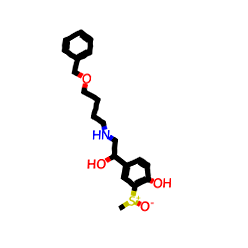 C[S+]([O-])c1cc(C(O)CNCCCCOCc2ccccc2)ccc1O